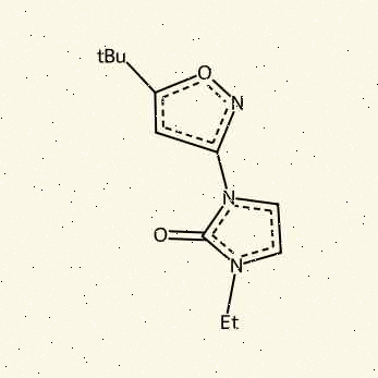 CCn1ccn(-c2cc(C(C)(C)C)on2)c1=O